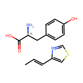 CC=Cc1cscn1.N[C@@H](Cc1ccc(O)cc1)C(=O)O